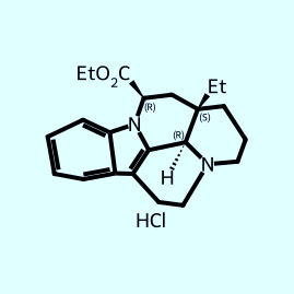 CCOC(=O)[C@H]1C[C@]2(CC)CCCN3CCc4c(n1c1ccccc41)[C@H]32.Cl